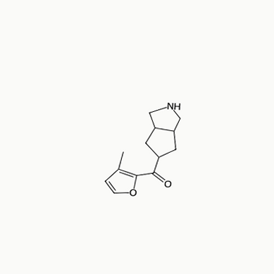 Cc1ccoc1C(=O)C1CC2CNCC2C1